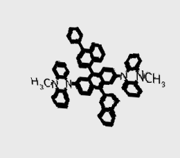 CN1c2ccccc2N(c2ccc3c(-c4ccc(-c5ccccc5)c5ccccc45)c4cc(N5c6ccccc6N(C)c6ccccc65)ccc4c(-c4ccc5ccccc5c4)c3c2)c2ccccc21